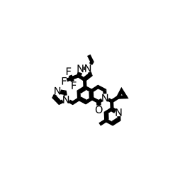 CCn1cc(-c2cc(Cn3ccnc3)cc3c2CCN(C(c2cc(C)ccn2)C2CC2)C3=O)c(C(F)(F)F)n1